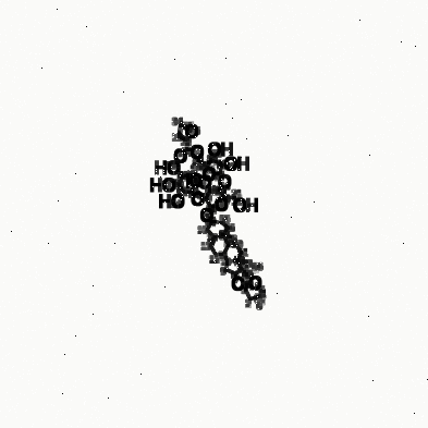 C[C@@H]1CC[C@@]2(OC1)OC1CC3C4CC=C5C[C@@H](O[C@@H]6O[C@H](CO)[C@@H](O[C@@H]7O[C@@H](COC(=O)c8ccco8)[C@H](O)[C@H]7O)[C@H](O)[C@H]6O[C@@H]6O[C@@H](C)[C@H](O)[C@@H](O)[C@H]6O)CC[C@]5(C)C4CC[C@]3(C)C1[C@@H]2C